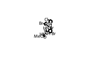 COC(=O)NNC(=O)c1cc(Br)cc(Br)c1NC(=O)c1cc(Br)cn1-c1ncccc1Cl